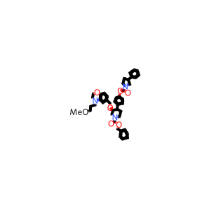 COCCCN1CCOc2ccc(COC3CN(C(=O)OCc4ccccc4)CCC3c3ccc(OC(=O)N4CCC(c5ccccc5)C4)cc3)cc21